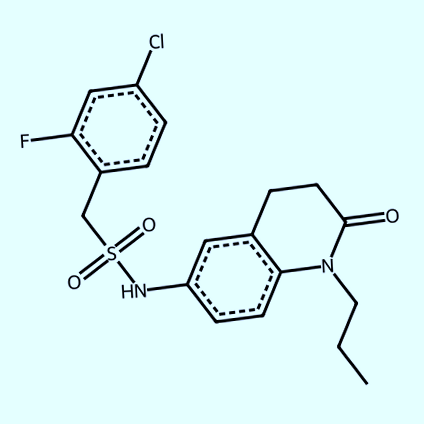 CCCN1C(=O)CCc2cc(NS(=O)(=O)Cc3ccc(Cl)cc3F)ccc21